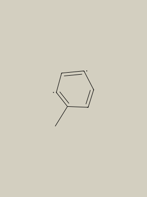 Cc1[c]c[c]cc1